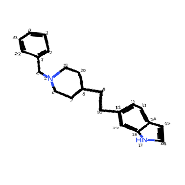 c1ccc(CN2CCC(CCc3ccc4cc[nH]c4c3)CC2)cc1